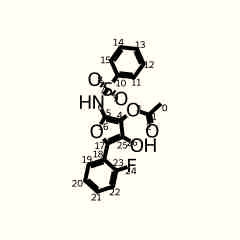 CC(=O)Oc1c(NS(=O)(=O)c2ccccc2)oc(-c2ccccc2F)c1O